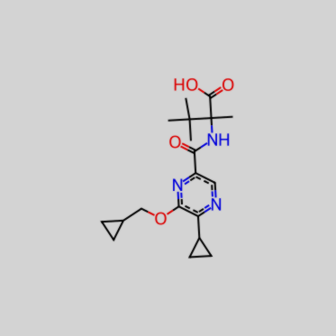 CC(C)(C)C(C)(NC(=O)c1cnc(C2CC2)c(OCC2CC2)n1)C(=O)O